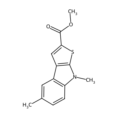 COC(=O)c1cc2c3cc(C)ccc3n(C)c2s1